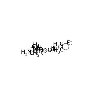 CCC1CCCCCCC(C)(CCCCn2cc(COCCOCCOCCC(=O)NC3(C)CC(C)(N)CCCC3(C)N)nn2)CC(C)CC1